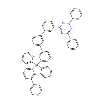 c1ccc(-c2nc(-c3ccccc3)nc(-c3cccc(-c4cccc(-c5cccc6c5-c5ccccc5C65c6ccccc6-c6c(-c7ccccc7)cccc65)c4)c3)n2)cc1